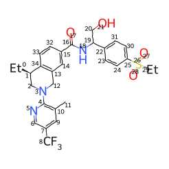 CC[C@@H]1CN(c2ncc(C(F)(F)F)cc2C)Cc2cc(C(=O)NC(CO)c3ccc(S(=O)(=O)CC)cc3)ccc21